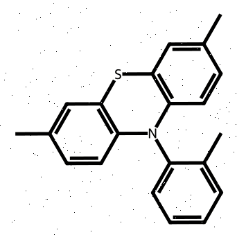 Cc1ccc2c(c1)Sc1cc(C)ccc1N2c1ccccc1C